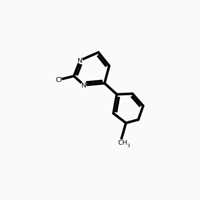 CC1C=C(c2ccnc(Cl)n2)C=CC1